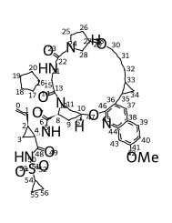 C=C[C@@H]1C[C@]1(NC(=O)[C@@H]1C[C@@H]2CN1C(=O)[C@H](C1CCCC1)NC(=O)N1CC[C@@H](C1)OCCCC1CC1c1cc3ccc(OC)cc3nc1O2)C(=O)NS(=O)(=O)C1CC1